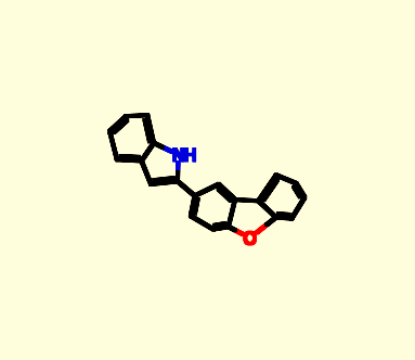 c1ccc2[nH]c(-c3ccc4oc5ccccc5c4c3)cc2c1